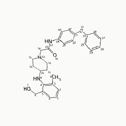 Cc1cccc(CO)c1NC1CCN(CC(=O)Nc2ccc(Oc3ccccc3)cc2)CC1